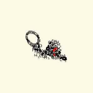 CC[C@H](C)[C@@H]([C@@H](CC(=O)N1CCC[C@H]1[C@H](OC)[C@@H](C)C(=O)N[C@H](C)[C@@H](O)c1ccccc1)OC)N(C)C(=O)[C@@H](NC(=O)[C@H](C(C)C)N(C)C(=O)OCc1ccc(NC(=O)[C@H](CCCNC(N)=O)NC(=O)[C@@H](NC(=O)CC[C@H](NC(=O)C(F)(F)F)C(=O)N2CCOCCOCCOCCOCCOCCOCCOCC2)C(C)C)cc1)C(C)C